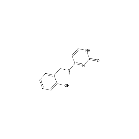 O=c1nc(NCc2ccccc2O)cc[nH]1